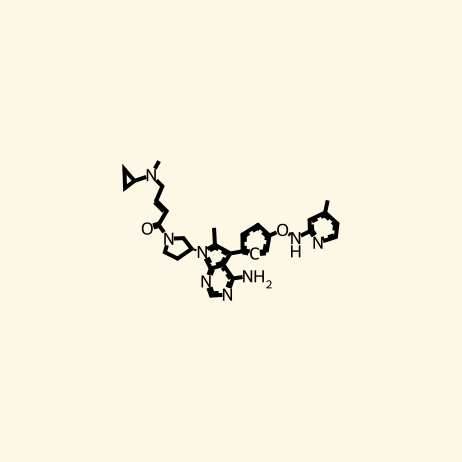 Cc1ccnc(NOc2ccc(-c3c(C)n([C@@H]4CCN(C(=O)/C=C/CN(C)C5CC5)C4)c4ncnc(N)c34)cc2)c1